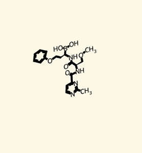 COC[C@@H](NC(=O)c1ccnc(C)n1)C(=O)N[C@@H](CCOc1ccccc1)B(O)O